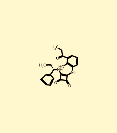 CCC(=O)c1cccc(Nc2c(N[C@H](CC)c3ccccc3)c(=O)c2=O)c1O